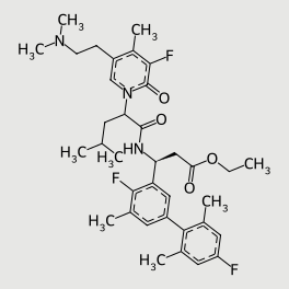 CCOC(=O)C[C@H](NC(=O)C(CC(C)C)n1cc(CCN(C)C)c(C)c(F)c1=O)c1cc(-c2c(C)cc(F)cc2C)cc(C)c1F